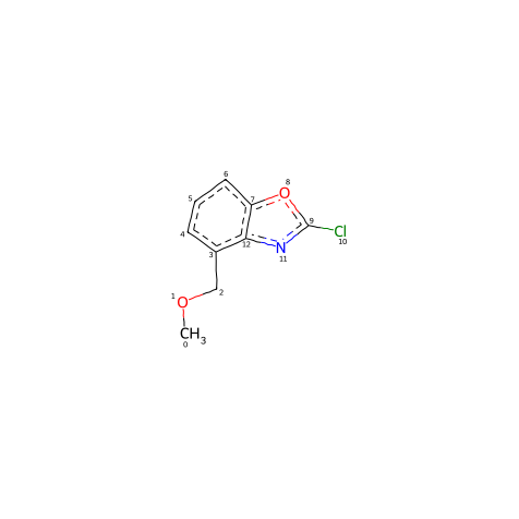 COCc1cccc2oc(Cl)nc12